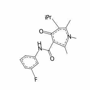 Cc1c(C(=O)Nc2cccc(F)c2)c(=O)c(C(C)C)c(C)n1C